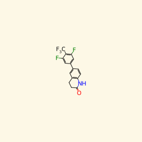 O=C1CCc2cc(-c3cc(F)c(C(F)(F)F)c(F)c3)ccc2N1